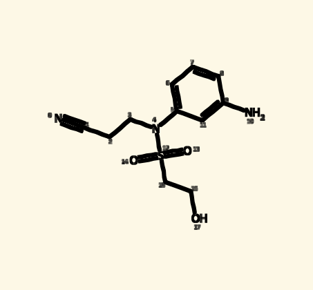 N#CCCN(c1cccc(N)c1)S(=O)(=O)CCO